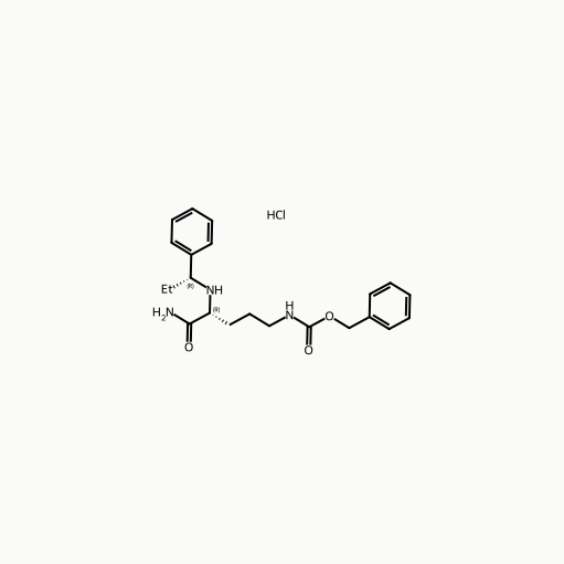 CC[C@@H](N[C@H](CCCNC(=O)OCc1ccccc1)C(N)=O)c1ccccc1.Cl